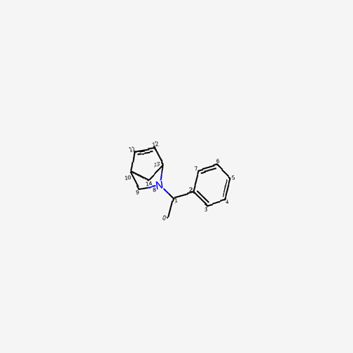 CC(c1ccccc1)N1CC2C=CC1C2